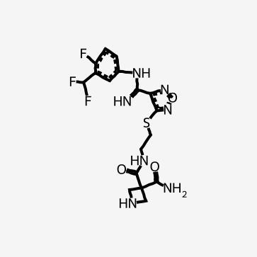 N=C(Nc1ccc(F)c(C(F)F)c1)c1nonc1SCCNC(=O)C1(C(N)=O)CNC1